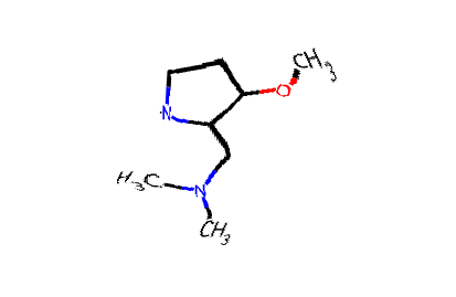 COC1CC[N]C1CN(C)C